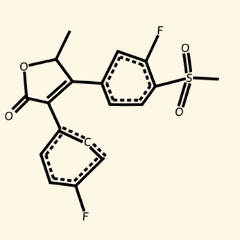 CC1OC(=O)C(c2ccc(F)cc2)=C1c1ccc(S(C)(=O)=O)c(F)c1